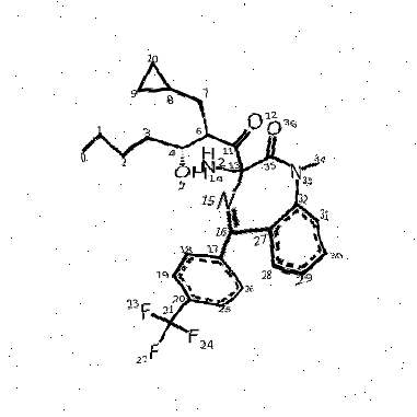 CCCC[C@@H](O)[C@@H](CC1CC1)C(=O)C1(N)N=C(c2ccc(C(F)(F)F)cc2)c2ccccc2N(C)C1=O